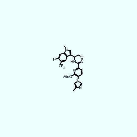 COc1nc(C2=NOCC(c3cn(C)c4cc(F)c(C(F)(F)F)cc34)N2)ccc1-n1cnc(C)c1